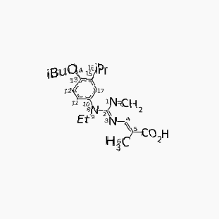 C=N/C(=N\C=C(/C)C(=O)O)N(CC)c1ccc(OCC(C)C)c(C(C)C)c1